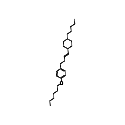 CCCCCCOc1ccc(CCC=CC2CCC(CCCCC)CC2)cc1